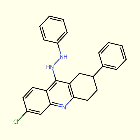 Clc1ccc2c(NNc3ccccc3)c3c(nc2c1)CCC(c1ccccc1)C3